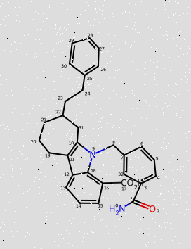 NC(=O)c1cccc(Cn2c3c(c4cccc(C(=O)O)c42)CCCC(CCc2ccccc2)C3)c1